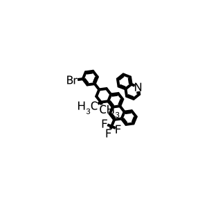 CC1(C)CC(c2cccc(Br)c2)Cc2ccc3c(cc(C(F)(F)F)c4ccccc43)c21.c1ccc2ncccc2c1